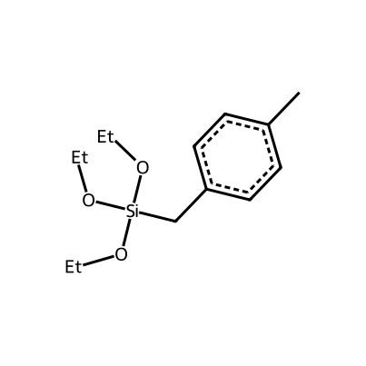 CCO[Si](Cc1ccc(C)cc1)(OCC)OCC